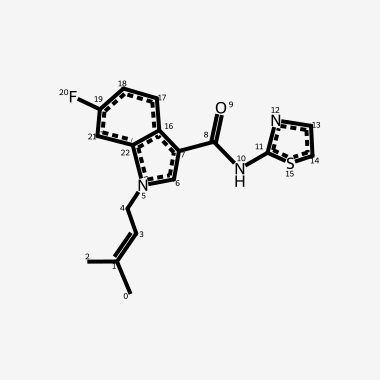 CC(C)=CCn1cc(C(=O)Nc2nccs2)c2ccc(F)cc21